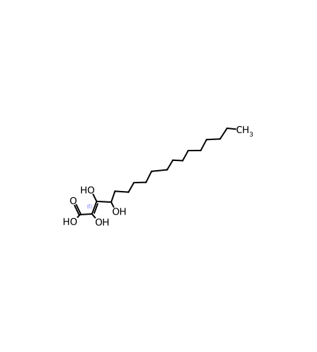 CCCCCCCCCCCCCCC(O)/C(O)=C(\O)C(=O)O